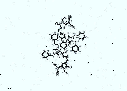 CCN1C(=O)/C(=N/c2nc3c(s2)-c2cc4c(cc2C3(C(=O)OCc2ccccc2)C(=O)OCc2ccccc2)-c2sc(/C=c3\sc(=C(C#N)C#N)n(CC)c3=O)nc2C4(C(=O)OCc2ccccc2)C(=O)OCc2ccccc2)SC1=C(C#N)C#N